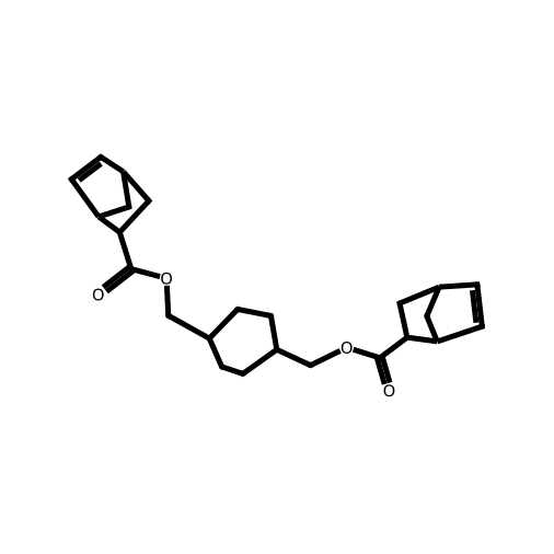 O=C(OCC1CCC(COC(=O)C2CC3C=CC2C3)CC1)C1CC2C=CC1C2